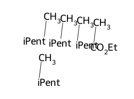 CCCC(C)C.CCCC(C)C.CCCC(C)C.CCCC(C)C.CCOC(C)=O